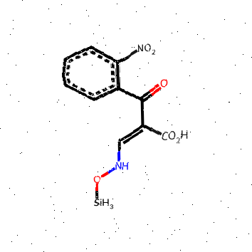 O=C(O)C(=CNO[SiH3])C(=O)c1ccccc1[N+](=O)[O-]